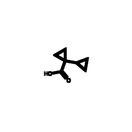 O=C(O)C1(C2CC2)CC1